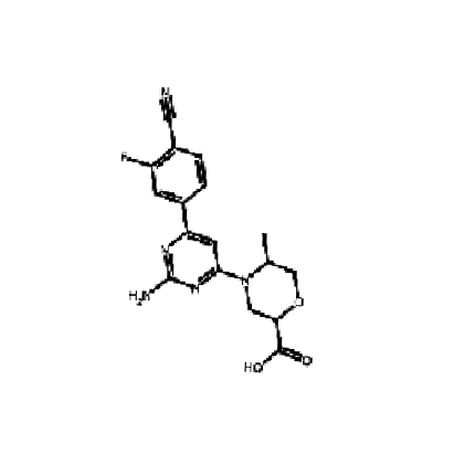 CC1COC(C(=O)O)CN1c1cc(-c2ccc(C#N)c(F)c2)nc(N)n1